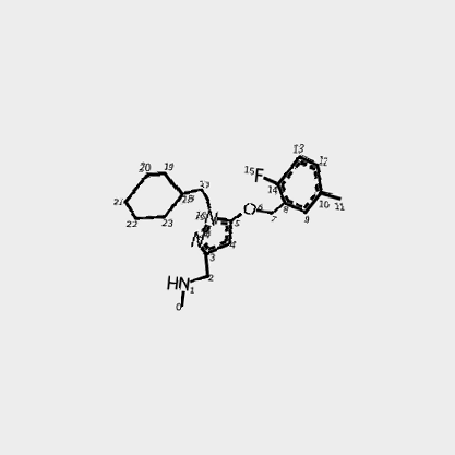 CNCc1cc(OCc2cc(C)ccc2F)n(CC2CCCCC2)n1